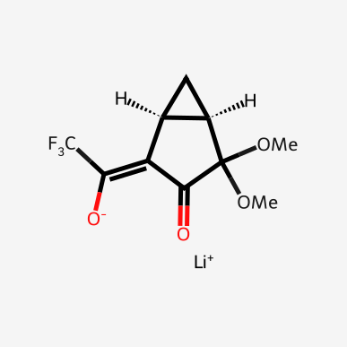 COC1(OC)C(=O)/C(=C(\[O-])C(F)(F)F)[C@H]2C[C@H]21.[Li+]